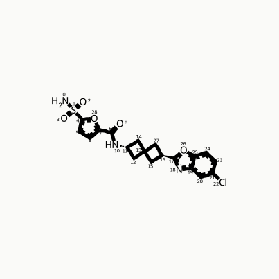 NS(=O)(=O)c1ccc(C(=O)N[C@H]2CC3(C2)C[C@H](c2nc4cc(Cl)ccc4o2)C3)o1